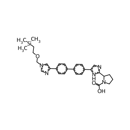 C[Si](C)(C)CCOCn1cnc(-c2ccc(-c3ccc(-c4cnc(C5CCCN5C(=O)O)[nH]4)cc3)cc2)c1